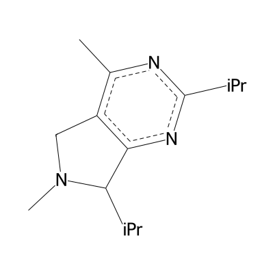 Cc1nc(C(C)C)nc2c1CN(C)C2C(C)C